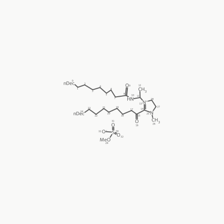 CCCCCCCCCCCCCCCCCC(=O)NC(C)[N+]1=C(C(=O)CCCCCCCCCCCCCCCCC)N(C)CC1.COS(=O)(=O)[O-]